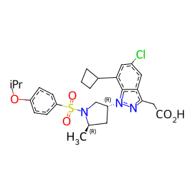 CC(C)Oc1ccc(S(=O)(=O)N2C[C@H](n3nc(CC(=O)O)c4cc(Cl)cc(C5CCC5)c43)C[C@H]2C)cc1